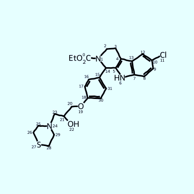 CCOC(=O)N1CCc2c([nH]c3ccc(Cl)cc23)C1c1ccc(OCC(O)CN2CCSCC2)cc1